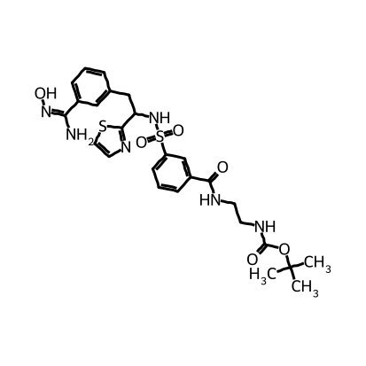 CC(C)(C)OC(=O)NCCNC(=O)c1cccc(S(=O)(=O)NC(Cc2cccc(/C(N)=N\O)c2)c2nccs2)c1